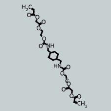 C=CC(=O)OCC(=O)OCCOC(=O)NCC1CCC(CNC(=O)OCCOC(=O)COC(=O)C=C)CC1